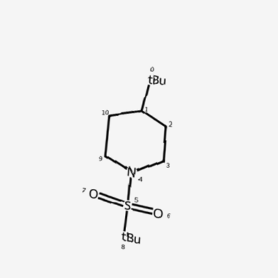 CC(C)(C)C1CCN(S(=O)(=O)C(C)(C)C)CC1